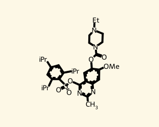 CCN1CCN(C(=O)Oc2cc3c(OS(=O)(=O)c4c(C(C)C)cc(C(C)C)cc4C(C)C)nc(C)nc3cc2OC)CC1